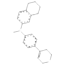 CN(c1ccc(C2=CCOCC2)cc1)c1ccc2c(c1)CCCC2